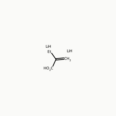 C=C(CC)C(=O)O.[LiH].[LiH]